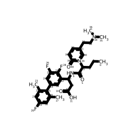 CCCC(C(=O)NC(CC(=O)O)c1cc(-c2c(C)cc(F)cc2C)cc(F)c1F)n1cc(CCN(C)C)ccc1=O